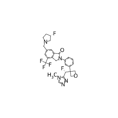 Cn1cnnc1[C@H](F)C1(c2cccc(N3Cc4c(cc(CN5CC[C@H](F)C5)cc4C(F)(F)F)C3=O)c2)COC1